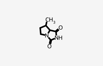 CC1CCN2C(=O)NC(=O)C12